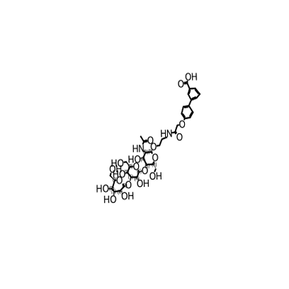 CC(=O)N[C@H]1[C@H](OCCCNC(=O)COc2ccc(-c3cccc(C(=O)O)c3)cc2)O[C@H](CO)[C@@H](O[C@@H]2O[C@H](CO)[C@H](O)[C@H](O[C@H]3O[C@H](CO)[C@H](O)[C@H](O)[C@H]3O)[C@H]2O)[C@@H]1O